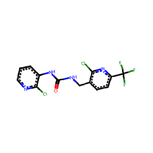 O=C(NCc1ccc(C(F)(F)F)nc1Cl)Nc1cccnc1Cl